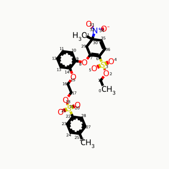 CCOS(=O)(=O)C1=C(Oc2ccccc2OCCOS(=O)(=O)c2ccc(C)cc2)CC(C)([N+](=O)[O-])C=C1